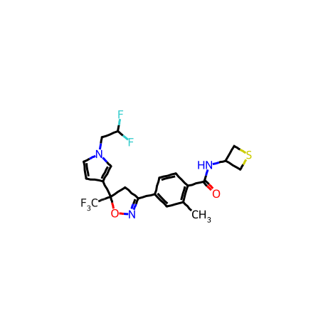 Cc1cc(C2=NOC(c3ccn(CC(F)F)c3)(C(F)(F)F)C2)ccc1C(=O)NC1CSC1